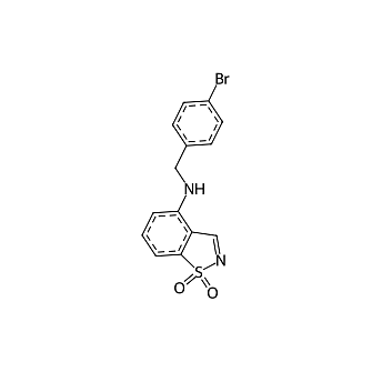 O=S1(=O)N=Cc2c(NCc3ccc(Br)cc3)cccc21